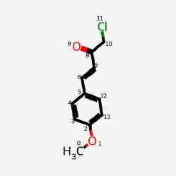 COc1ccc(C=CC(=O)CCl)cc1